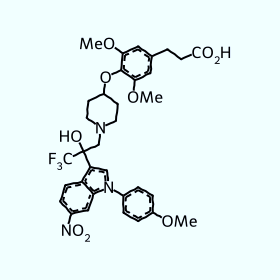 COc1ccc(-n2cc(C(O)(CN3CCC(Oc4c(OC)cc(CCC(=O)O)cc4OC)CC3)C(F)(F)F)c3ccc([N+](=O)[O-])cc32)cc1